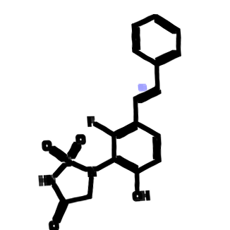 O=C1CN(c2c(O)ccc(/C=C/c3ccccc3)c2F)S(=O)(=O)N1